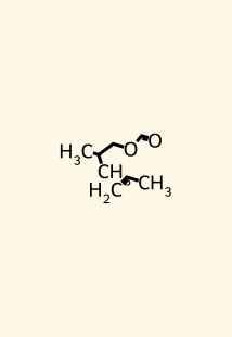 C=CC.CC(C)COC=O